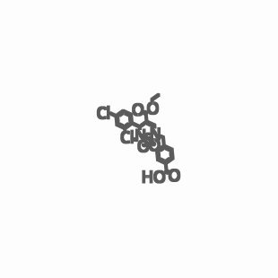 CCOC(=O)C1=CN(Cc2ccc(C(=O)O)cc2)S(=O)(=O)N(C)C1c1ccc(Cl)cc1Cl